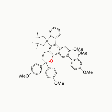 COc1ccc(C2(c3ccc(OC)cc3)C=Cc3c4c(c5cc(OC)c(-c6ccc(OC)cc6OC)cc5c3O2)-c2ccccc2C42CC(C)(C)C(C)(C)C2)cc1